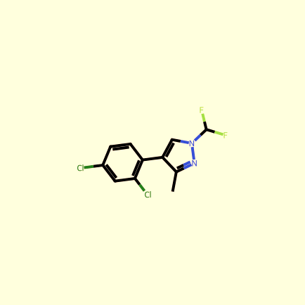 Cc1nn(C(F)F)cc1-c1ccc(Cl)cc1Cl